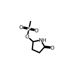 CS(=O)(=O)OC1CCC(=O)N1